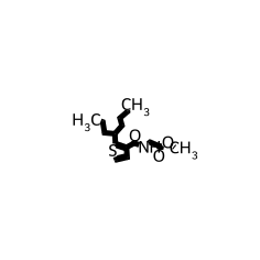 CCCCC(CCC)c1sccc1C(=O)NCC(=O)OC